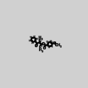 COc1ccc(C(=O)O/C(C)=C(\C)C(=O)c2ccccc2)cc1